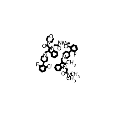 CNC(=O)Cn1c(C(=O)N2CCOCC2)c(CN2CCC(c3c(F)cccc3Cl)CC2)c2ccccc21.Cc1c(CN2CCC(c3c(F)cccc3Cl)CC2)c2ccccc2n1CC(=O)N(C)C